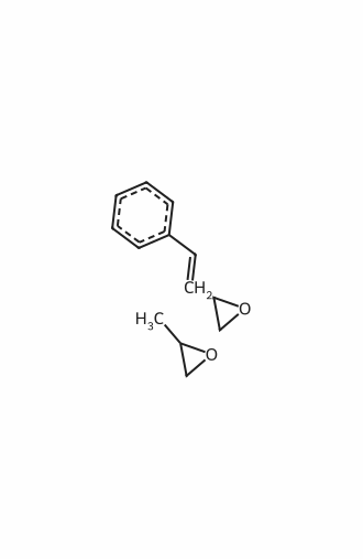 C1CO1.C=Cc1ccccc1.CC1CO1